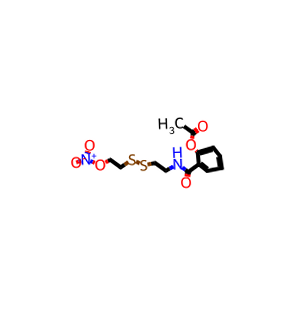 CC(=O)Oc1ccccc1C(=O)NCCSSCCO[N+](=O)[O-]